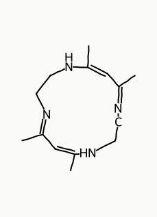 C/C1=C/C(C)=N/CCN/C(C)=C\C(C)=N\CCN1